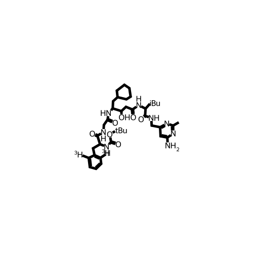 [3H]c1cccc([3H])c1CC(NC(=O)OC(C)(C)C)C(=O)NCC(=O)NC(CC1CCCCC1)C(O)CC(=O)NC(C(=O)NCc1cc(N)nc(C)n1)C(C)CC